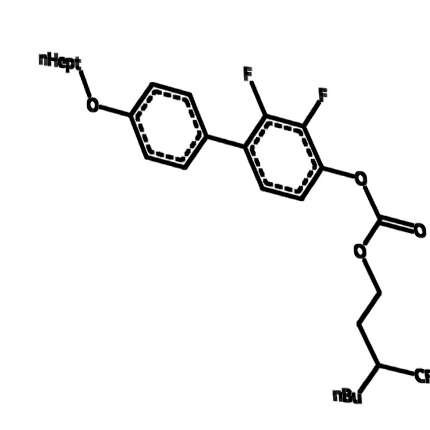 CCCCCCCOc1ccc(-c2ccc(OC(=O)OCCC(CCCC)C(F)(F)F)c(F)c2F)cc1